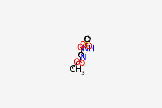 CCCOC(=O)c1ccc(C(=O)NS(=O)(=O)c2ccccc2)cn1